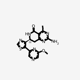 COc1cncc(-c2scnc2[C@@H]2Cc3nc(N)nc(C)c3C(=O)N2)n1